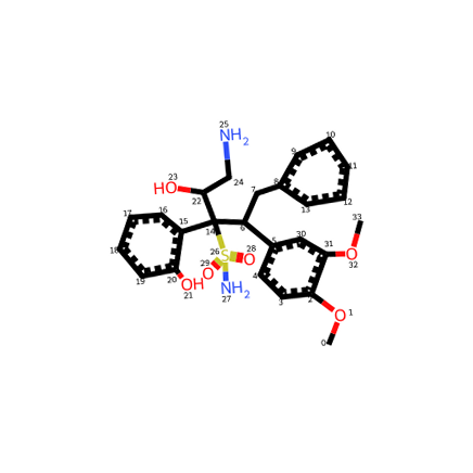 COc1ccc(C(Cc2ccccc2)C(c2ccccc2O)(C(O)CN)S(N)(=O)=O)cc1OC